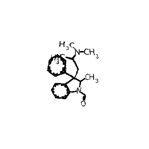 CC(CC1(c2ccccc2)c2ccccc2N(C=O)C1C)N(C)C